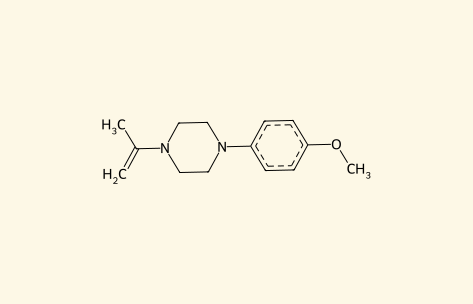 C=C(C)N1CCN(c2ccc(OC)cc2)CC1